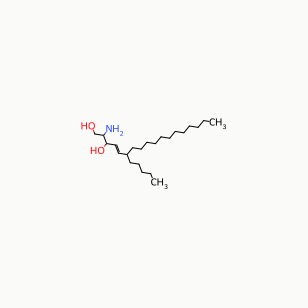 CCCCCCCCCCCCC(/C=C/C(O)C(N)CO)CCCCC